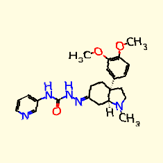 COc1ccc([C@@]23CC/C(=N\NC(=O)Nc4cccnc4)C[C@@H]2N(C)CC3)cc1OC